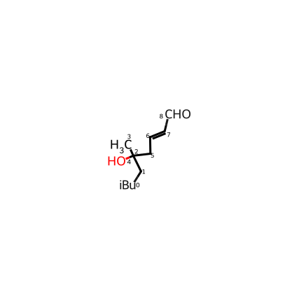 CCC(C)CC(C)(O)C/C=C/C=O